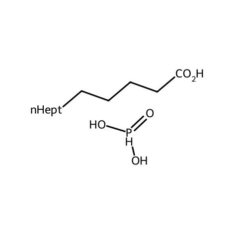 CCCCCCCCCCCC(=O)O.O=[PH](O)O